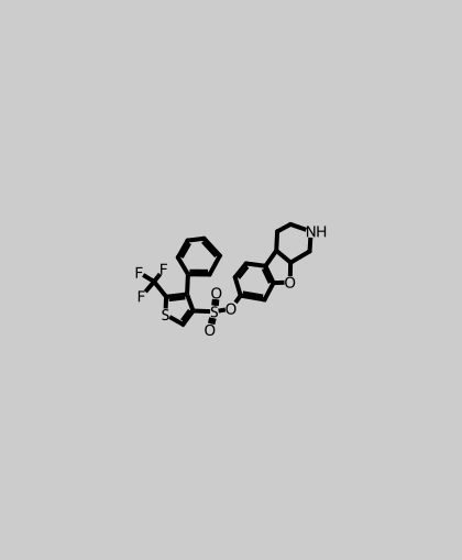 O=S(=O)(Oc1ccc2c(c1)OC1CNCCC21)c1csc(C(F)(F)F)c1-c1ccccc1